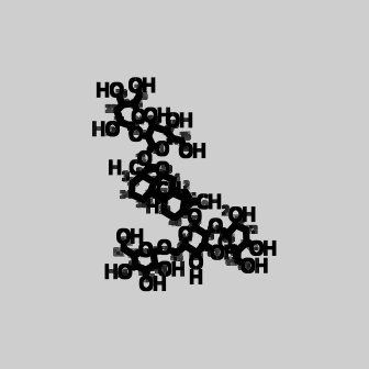 C=C1C[C@@]23CCC4[C@](C)(C(=O)OC5OC(CO)C(O)C(O)C5OC5OC(CO)C(O)CC5O)CCC[C@@]4(C)[C@@H]2CC[C@]1(OC1OC(COC2OC(CO)C(O)C(O)C2O)C(O)C(O)C1OC1OC(CO)C(O)CC1O)C3